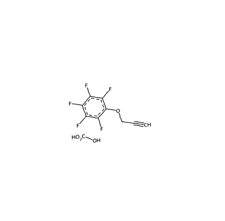 C#CCOc1c(F)c(F)c(F)c(F)c1F.O=C(O)O